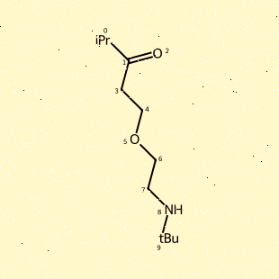 CC(C)C(=O)CCOCCNC(C)(C)C